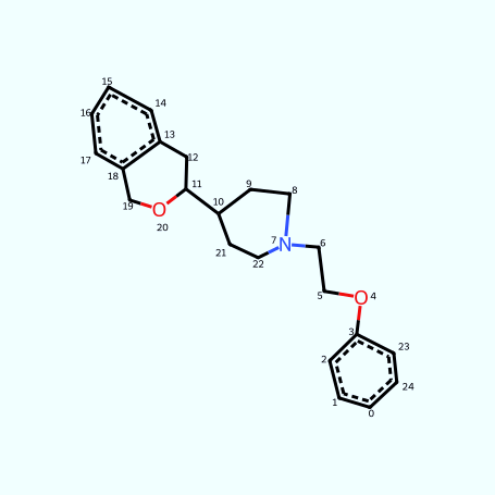 c1ccc(OCCN2CCC(C3Cc4ccccc4CO3)CC2)cc1